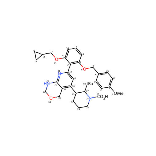 COc1ccc(COc2cccc(OCC3CC3)c2-c2cc(C3CCCN(C(=O)O)C3C(C)(C)C)c3c(n2)NCOC3)cc1